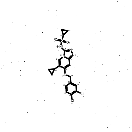 O=S(=O)(Nc1nnc2cc(OCc3ccc(Cl)c(Cl)c3)c(C3CC3)cn12)C1CC1